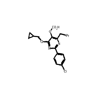 CC(C)Cc1nc(-c2ccc(Cl)cc2)nc(OCC2CC2)c1OC(=O)O